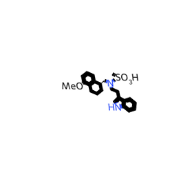 COc1cccc2c1CCC[C@H]2CN(C)CCc1c[nH]c2ccccc12.CS(=O)(=O)O